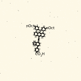 CCCCCCCCc1ccc(N(c2ccc(CCCCCCCC)cc2)c2c3ccccc3c(C#Cc3ccc(-c4ccc(C(=O)O)cc4)c4nsnc34)c3ccccc23)cc1